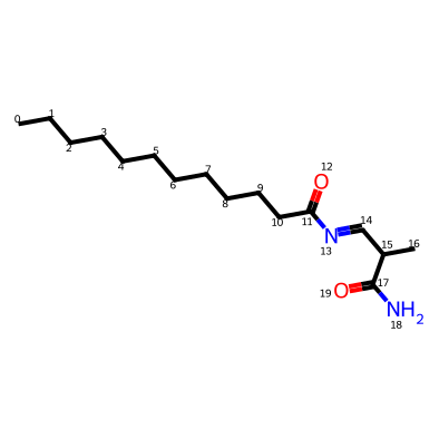 CCCCCCCCCCCC(=O)N=CC(C)C(N)=O